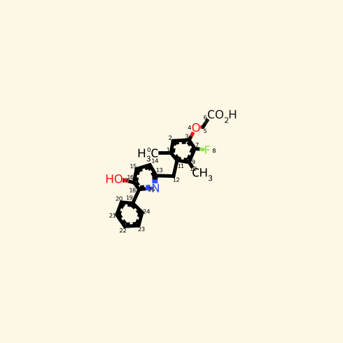 Cc1cc(OCC(=O)O)c(F)c(C)c1Cc1ccc(O)c(-c2ccccc2)n1